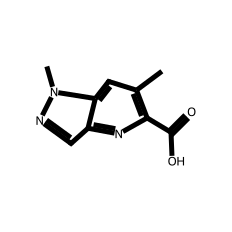 Cc1cc2c(cnn2C)nc1C(=O)O